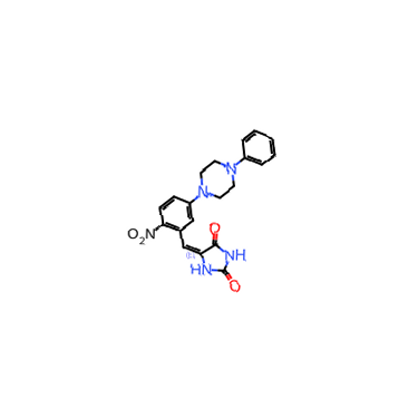 O=C1NC(=O)/C(=C\c2cc(N3CCN(c4ccccc4)CC3)ccc2[N+](=O)[O-])N1